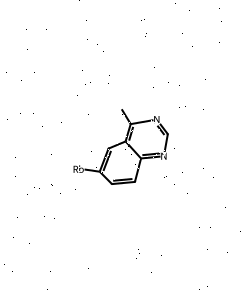 Cc1ncnc2cc[c]([Rb])cc12